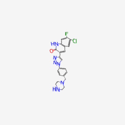 O=c1[nH]c2cc(F)c(Cl)cc2cc1-c1cn(-c2ccc(CN3CCNCC3)cc2)nn1